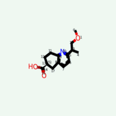 COCC(C)c1ccc2c(n1)CC[C@H](C(=O)O)C2